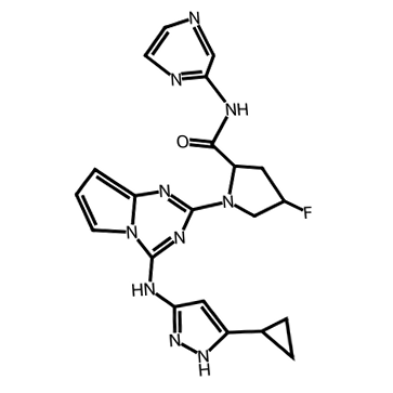 O=C(Nc1cnccn1)C1CC(F)CN1c1nc(Nc2cc(C3CC3)[nH]n2)n2cccc2n1